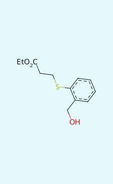 CCOC(=O)CCSc1ccccc1CO